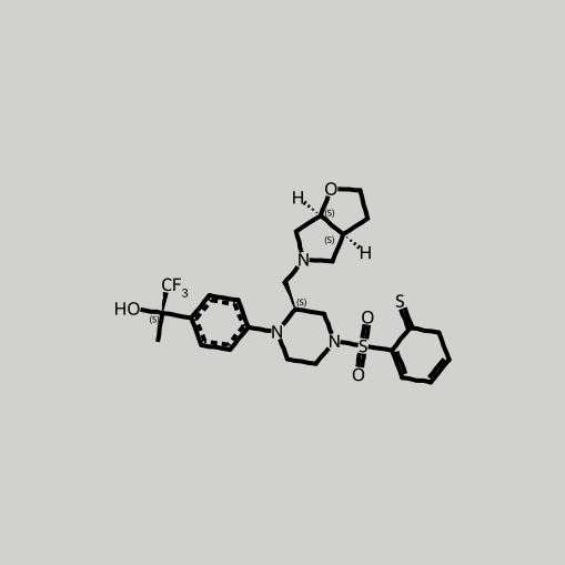 C[C@](O)(c1ccc(N2CCN(S(=O)(=O)C3=CC=CCC3=S)C[C@@H]2CN2C[C@@H]3CCO[C@@H]3C2)cc1)C(F)(F)F